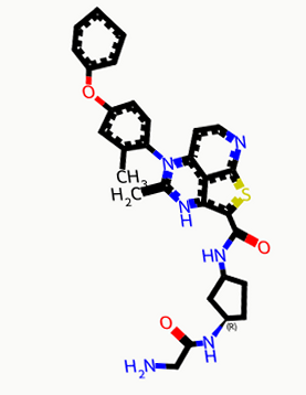 C=c1[nH]c2c(C(=O)NC3CC[C@@H](NC(=O)CN)C3)sc3nccc(c32)n1-c1ccc(Oc2ccccc2)cc1C